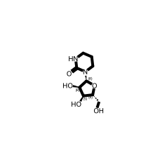 O=C1NCCCN1[C@@H]1O[C@H](CO)[C@@H](O)[C@H]1O